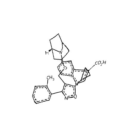 Cc1ccccc1-c1noc(C2CC2)c1COC1CC2CC[C@@H](C1)N2c1ccn2ncc(C(=O)O)c2c1